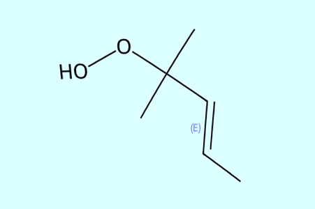 C/C=C/C(C)(C)OO